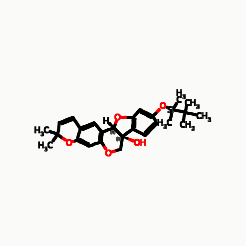 CC1(C)C=Cc2cc3c(cc2O1)OC[C@@]1(O)c2ccc(O[Si](C)(C)C(C)(C)C)cc2O[C@@H]31